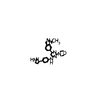 Cn1ncc2ccc(-c3cc(Nc4ccc(-c5cc[nH]n5)cc4)nc(N4CCOCC4)n3)cc21